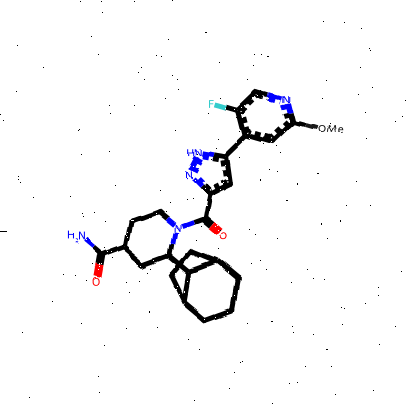 COc1cc(-c2cc(C(=O)N3CCC(C(N)=O)CC3C3C4CCCC3CC4)n[nH]2)c(F)cn1